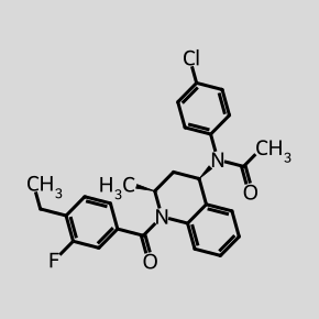 CCc1ccc(C(=O)N2c3ccccc3[C@H](N(C(C)=O)c3ccc(Cl)cc3)C[C@@H]2C)cc1F